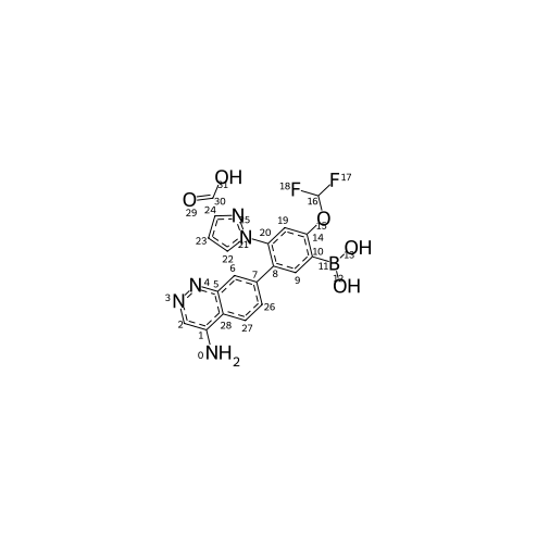 Nc1cnnc2cc(-c3cc(B(O)O)c(OC(F)F)cc3-n3cccn3)ccc12.O=CO